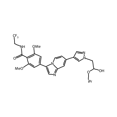 COc1cc(-c2cnc3cc(-c4cnn(CC(O)OC(C)C)c4)ccn23)cc(OC)c1C(=O)NCC(F)(F)F